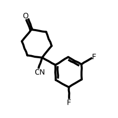 N#CC1(C2=CC(F)CC(F)=C2)CCC(=O)CC1